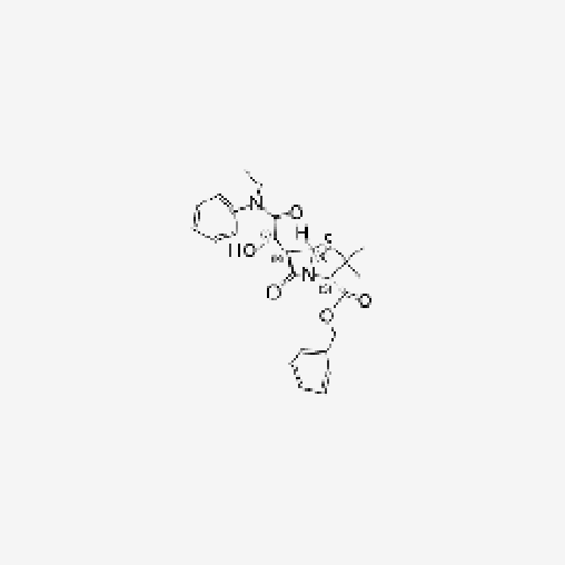 CCN(C(=O)[C@@H](O)[C@@H]1C(=O)N2[C@@H]1SC(C)(C)[C@@H]2C(=O)OCc1ccccc1)c1ccccc1